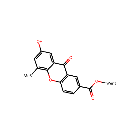 CCCCCOC(=O)c1ccc2oc3c(SC)cc(O)cc3c(=O)c2c1